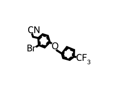 N#CCc1ccc(OCc2ccc(C(F)(F)F)cc2)cc1Br